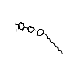 CCCCCCCCCC[C@H]1CC[C@H](C2C=CC(c3ccc(Cl)c(F)c3)=CC2)CC1